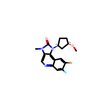 CO[C@H]1CC[C@H](n2c(=O)n(C)c3cnc4cc(F)c(Br)cc4c32)C1